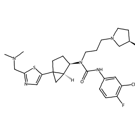 CN(C)Cc1ncc(C23CC[C@@H](N(CCCN4CC[C@@H](O)C4)C(=O)Nc4ccc(F)c(C(F)(F)F)c4)[C@H]2C3)s1